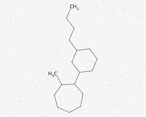 CCCCC1CCCC(C2CCCCCC2C)C1